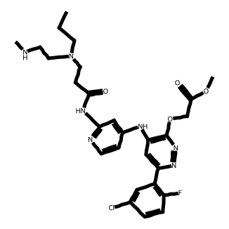 CCCN(CCNC)CCC(=O)Nc1cc(Nc2cc(-c3cc(Cl)ccc3F)nnc2OCC(=O)OC)ccn1